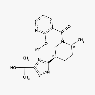 CC(C)Oc1ncccc1C(=O)N1C[C@H](c2nsc(C(C)(C)O)n2)CC[C@H]1C